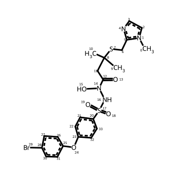 Cn1ccnc1CSC(C)(C)CC(=O)N(O)NS(=O)(=O)c1ccc(Oc2ccc(Br)cc2)cc1